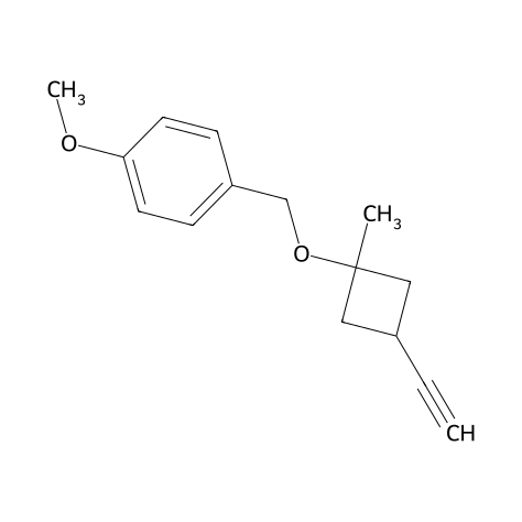 C#CC1CC(C)(OCc2ccc(OC)cc2)C1